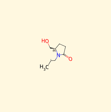 C[CH]CN1C(=O)CC[C@@H]1CO